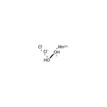 OO.[Cl-].[Cl-].[Mn+2]